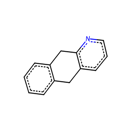 c1ccc2c(c1)Cc1cccnc1C2